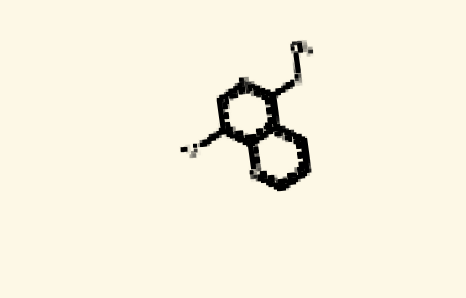 CSc1ncc(C)c2ncccc12